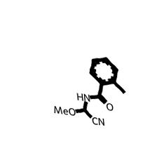 COC(C#N)NC(=O)c1ccccc1C